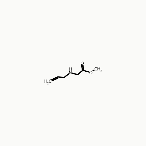 C=CCNCC(=O)OC